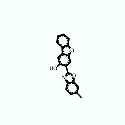 Cc1ccc2nc(-c3cc4oc5ccccc5c4cc3O)oc2c1